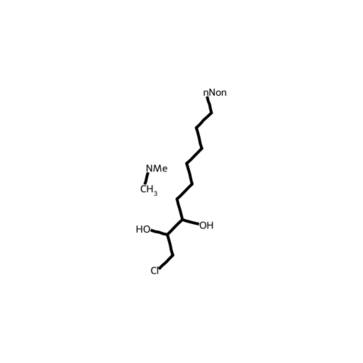 CCCCCCCCCCCCCCCC(O)C(O)CCl.CNC